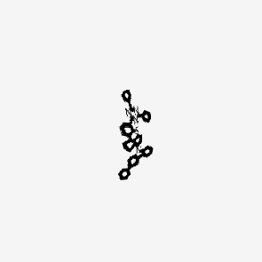 c1ccc(-c2ccc3c(c2)c2ccccc2n3-c2ccc3c4c(cccc24)-c2cccc(-c4nc(-c5ccccc5)nc(-c5ccccc5)n4)c2S3)cc1